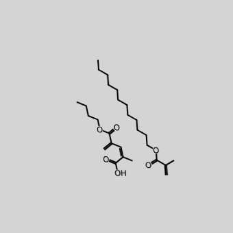 C=C(C)C(=O)OCCCCCCCCCCCC.C=C(C=C(C)C(=O)O)C(=O)OCCCC